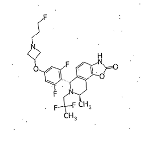 C[C@@H]1Cc2c(ccc3[nH]c(=O)oc23)[C@@H](c2c(F)cc(OC3CN(CCCF)C3)cc2F)N1CC(C)(F)F